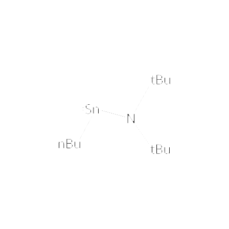 CCC[CH2][Sn][N](C(C)(C)C)C(C)(C)C